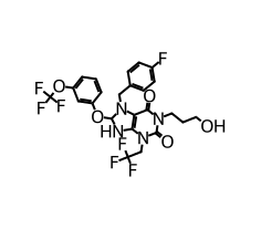 O=c1c2c(n(CC(F)(F)F)c(=O)n1CCCO)NC(Oc1cccc(OC(F)(F)F)c1)N2Cc1ccc(F)cc1